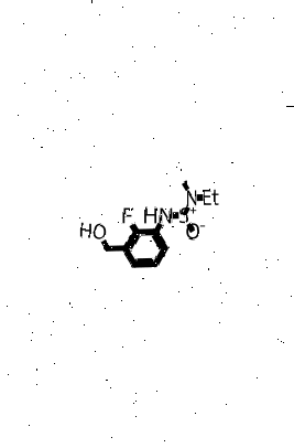 CCN(C)[S+]([O-])Nc1cccc(CO)c1F